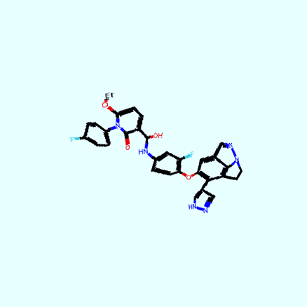 CCOc1ccc(C(O)Nc2ccc(Oc3cc4cnn5c4c(c3-c3cn[nH]c3)CC5)c(F)c2)c(=O)n1-c1ccc(F)cc1